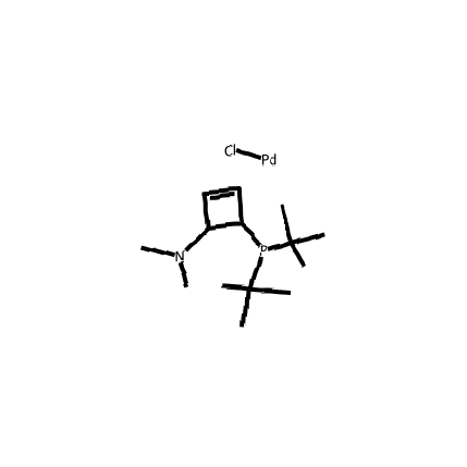 CN(C)C1C=CC1P(C(C)(C)C)C(C)(C)C.[Cl][Pd]